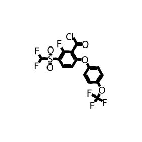 O=C(Cl)c1c(Oc2ccc(OC(F)(F)F)cc2)ccc(S(=O)(=O)C(F)F)c1F